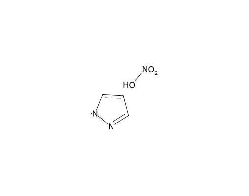 C1=C[N]N=C1.O=[N+]([O-])O